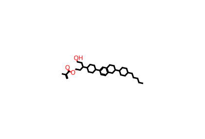 C=C(C)C(=O)OCCC(CCO)C1CCC(c2ccc3c(c2)CCC(C2CCC(CCCCC)CC2)C3)CC1